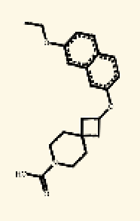 CCOc1ccc2ccc(OC3CC4(CCN(C(=O)O)CC4)C3)cc2c1